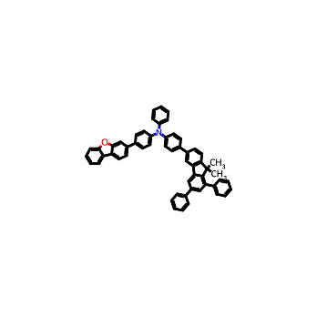 CC1(C)c2ccc(-c3ccc(N(c4ccccc4)c4ccc(-c5ccc6c(c5)oc5ccccc56)cc4)cc3)cc2-c2cc(-c3ccccc3)cc(-c3ccccc3)c21